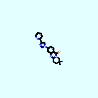 CC1(C)CCc2nc3cc(-n4cnc(-c5ccccn5)c4)ccc3c(=O)n2C1